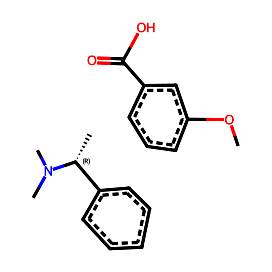 COc1cccc(C(=O)O)c1.C[C@H](c1ccccc1)N(C)C